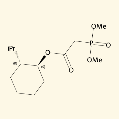 COP(=O)(CC(=O)O[C@H]1CCCC[C@@H]1C(C)C)OC